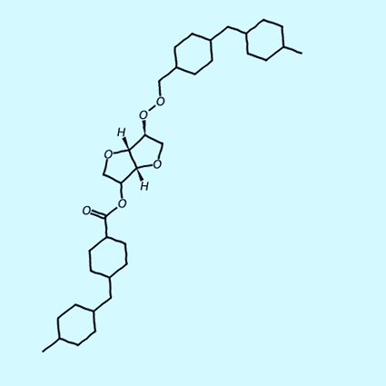 CC1CCC(CC2CCC(COO[C@H]3CO[C@@H]4C(OC(=O)C5CCC(CC6CCC(C)CC6)CC5)CO[C@H]34)CC2)CC1